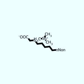 CCCCCCCCCCCCCCSCC(=O)[O-].[CH3][Sn+]([CH3])[CH3]